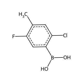 Cc1cc(Cl)c(B(O)O)cc1F